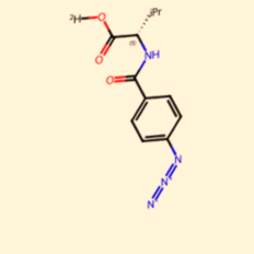 [2H]OC(=O)[C@@H](NC(=O)c1ccc(N=[N+]=[N-])cc1)C(C)C